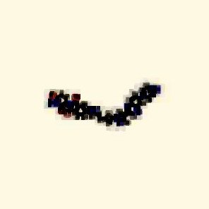 O=C1CCC(N2C(=O)c3ccc(NCCCC4CC(n5cc(-c6cnc7cc(N8CCNCC8)ccc7n6)cn5)C4)cc3C2=O)C(=O)N1